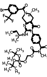 C=C[C@H](C)Nc1nc2c(c(=O)n1-c1ccc(C(=O)N(C)C(=O)OCOP(=O)(OC(C)(C)C)OC(C)(C)C)cc1)C[C@@H](C)N(C(=O)c1ccc(Br)c(C(F)(F)F)c1)C2